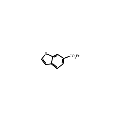 CCOC(=O)c1ccc2ccsc2c1